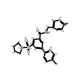 Cc1ccc(-c2cc(C(=O)NCc3ccc(C)nc3)cc(S(=O)(=O)N3CCCC3)c2)nc1